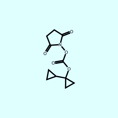 O=C(ON1C(=O)CCC1=O)OC1(C2CC2)CC1